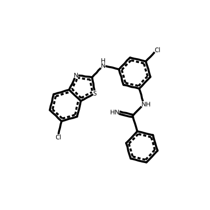 N=C(Nc1cc(Cl)cc(Nc2nc3ccc(Cl)cc3s2)c1)c1ccccc1